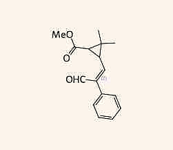 COC(=O)C1C(/C=C(\C=O)c2ccccc2)C1(C)C